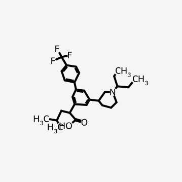 CCC(CC)N1CCCC(c2cc(-c3ccc(C(F)(F)F)cc3)cc(C(CC(C)C)C(=O)O)c2)C1